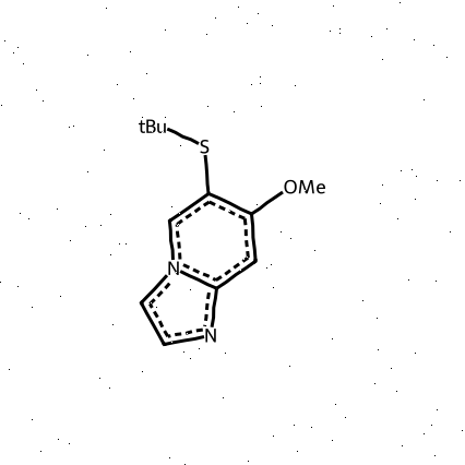 COc1cc2nccn2cc1SC(C)(C)C